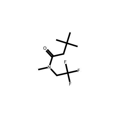 CN(CC(F)(F)F)C(=O)CC(C)(C)C